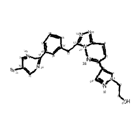 OCCn1cc(-c2ccc3nnc(Cc4cccc(-c5ncc(Br)cn5)c4)n3n2)cn1